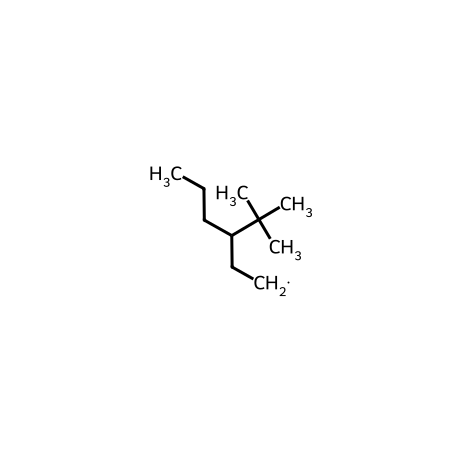 [CH2]CC(CCC)C(C)(C)C